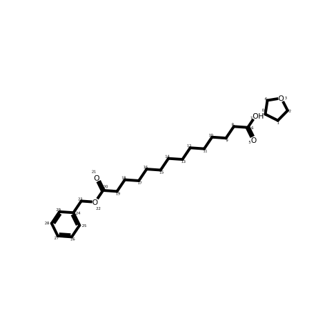 C1CCOC1.O=C(O)CCCCCCCCCCCCC(=O)OCc1ccccc1